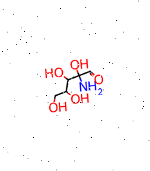 NC(O)(C=O)C(O)C(O)CO